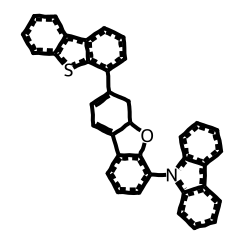 C1=C(c2cccc3c2sc2ccccc23)CC2Oc3c(cccc3-n3c4ccccc4c4ccccc43)C2=C1